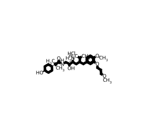 COCCCOc1cc(CC(CC(N)C(O)CNC(=O)C(C)(C)[C@H]2CC[C@H](O)CC2)C(C)C)ccc1OC.Cl